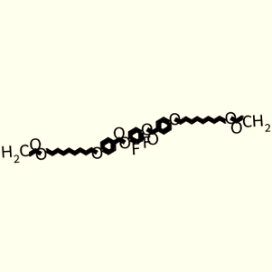 C=CC(=O)OCCCCCCCCCOc1ccc(C(=O)Oc2ccc(OC(=O)c3ccc(OCCCCCCCCCOC(=O)C=C)cc3)c(F)c2F)cc1